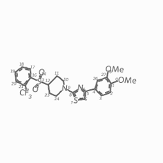 COc1ccc(-c2csc(N3CCC(S(=O)(=O)c4ccccc4C(F)(F)F)CC3)n2)cc1OC